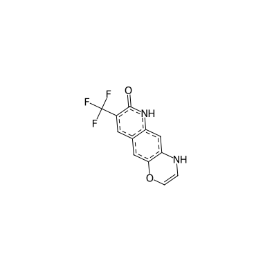 O=c1[nH]c2cc3c(cc2cc1C(F)(F)F)OC=CN3